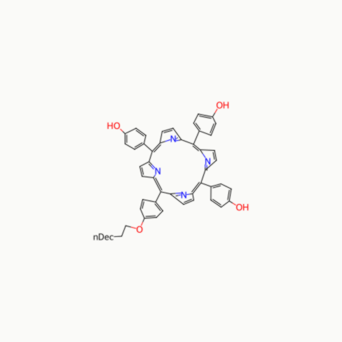 CCCCCCCCCCCCOc1ccc(C2=C3C=CC(=N3)C(c3ccc(O)cc3)=C3C=CC(=N3)C(c3ccc(O)cc3)=C3C=CC(=N3)C(c3ccc(O)cc3)=C3C=CC2=N3)cc1